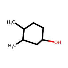 CC1CCC(O)CC1C